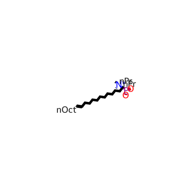 CCCCCCCCC=CCCCCCCCCCCC(CCC)(P(=O)=O)[N+](C)(C)CCC